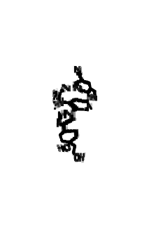 C[C@H](C#N)Nc1cc(-n2ncc3cc(C#N)cnc32)ncc1-n1cc(C2CCC(O)(CCO)CC2)nn1